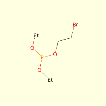 CCOP(OCC)OCCBr